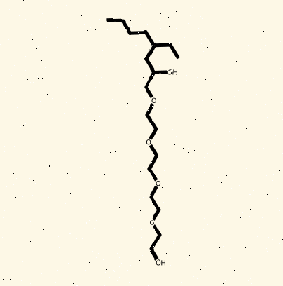 CCCCC(CC)CC(O)COCCOCCOCCOCCO